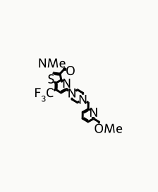 CNC(=O)c1csc2c(C(F)(F)F)cc(N3CCN(Cc4cccc(COC)n4)CC3)nc12